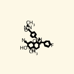 Cc1noc(-c2ccc(-n3nc(-c4ccc(F)cc4)c4c3[C@]3(C)C=C(C#N)C(O)[C@H](C)[C@H]3CC4)cc2)n1